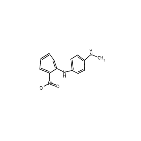 CNc1ccc(Nc2ccccc2[N+](=O)[O-])cc1